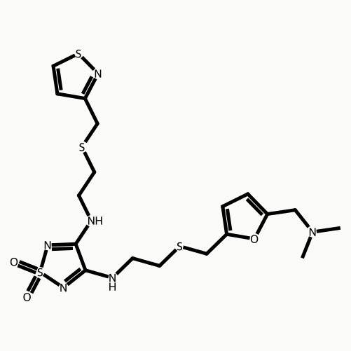 CN(C)Cc1ccc(CSCCNC2=NS(=O)(=O)N=C2NCCSCc2ccsn2)o1